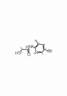 Cc1cc(Br)cnc1NC(=O)CS